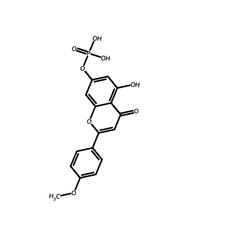 COc1ccc(-c2cc(=O)c3c(O)cc(OP(=O)(O)O)cc3o2)cc1